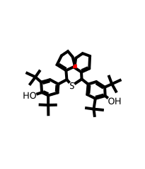 CC(C)(C)c1cc(C(SC(C2=CCCCC2)c2cc(C(C)(C)C)c(O)c(C(C)(C)C)c2)C2=CCCCC2)cc(C(C)(C)C)c1O